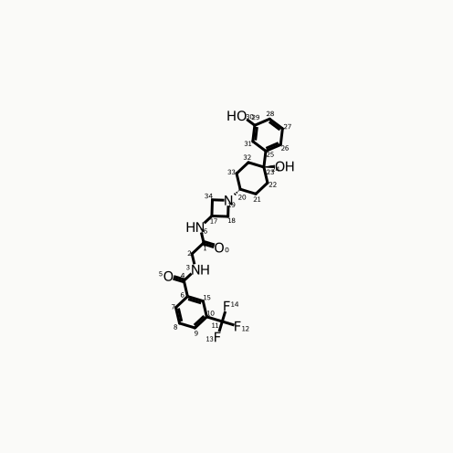 O=C(CNC(=O)c1cccc(C(F)(F)F)c1)NC1CN([C@H]2CC[C@@](O)(c3cccc(O)c3)CC2)C1